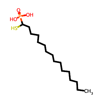 CCCCCCCCCCCCCCCC(S)P(=O)(O)O